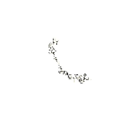 CN(C)C(=O)c1cc2cnc(Nc3ccc(N4CCN(C(=O)COCCOCCOCCSc5cccc6c5C(=O)N(C5CCC(=O)NC5=O)C6=O)CC4)cn3)nc2n1C1CCCC1